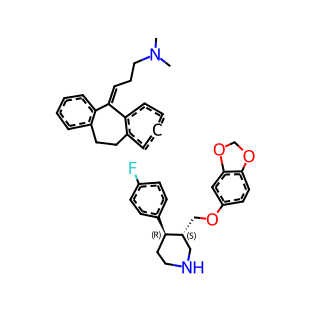 CN(C)CCC=C1c2ccccc2CCc2ccccc21.Fc1ccc([C@@H]2CCNC[C@H]2COc2ccc3c(c2)OCO3)cc1